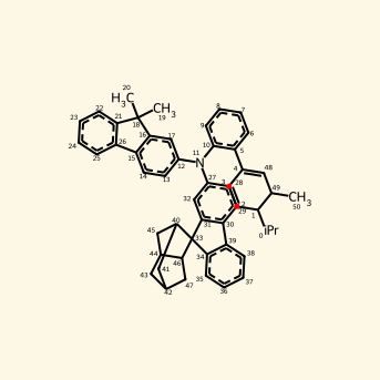 CC(C)C1C=CC(c2ccccc2N(c2ccc3c(c2)C(C)(C)c2ccccc2-3)c2ccc3c(c2)C2(c4ccccc4-3)C3CC4CC(C3)C2C4)=CC1C